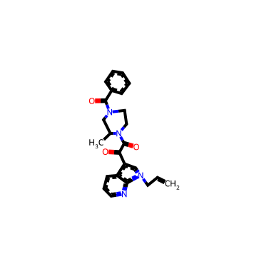 C=CCn1cc(C(=O)C(=O)N2CCN(C(=O)c3ccccc3)CC2C)c2cccnc21